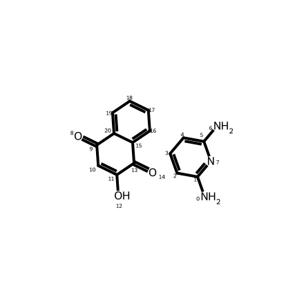 Nc1cccc(N)n1.O=C1C=C(O)C(=O)c2ccccc21